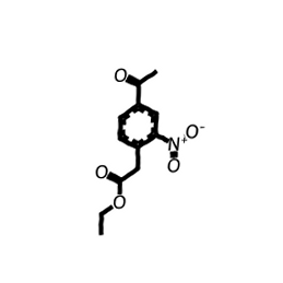 CCOC(=O)Cc1ccc(C(C)=O)cc1[N+](=O)[O-]